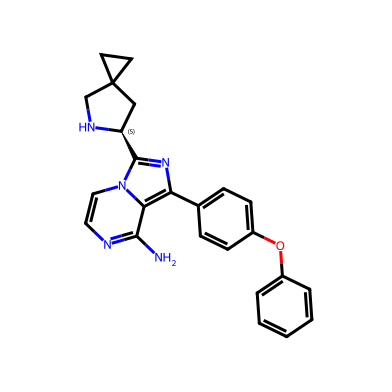 Nc1nccn2c([C@@H]3CC4(CC4)CN3)nc(-c3ccc(Oc4ccccc4)cc3)c12